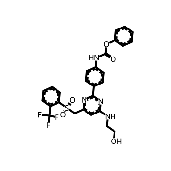 O=C(Nc1ccc(-c2nc(CS(=O)(=O)c3ccccc3C(F)(F)F)cc(NCCO)n2)cc1)Oc1ccccc1